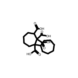 O=C(O)C1CCCCC(C(=O)O)(C2CCCCCC2)C1(C(=O)O)C(=O)O